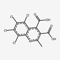 Cc1nc2c(Cl)c(Cl)c(Cl)c(Cl)c2c(C(=O)O)c1C(=O)O